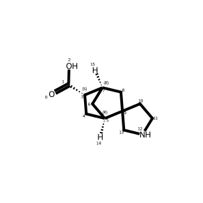 O=C(O)[C@H]1C[C@H]2C[C@@H]1CC21CCNC1